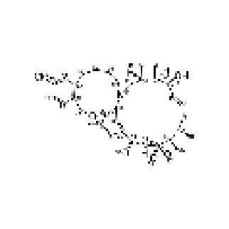 C[C@@H]1C/C=C/[C@H](O)[C@@H]2CC[C@H]2CN2CCCCc3cc(Cl)ccc3COc3ccc(cc32)C(=O)NS(=O)(=O)[C@@H]1C